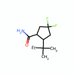 CCC(C)(C)C1CC(F)(F)CC1C(N)=O